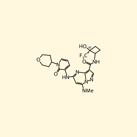 CNc1cc(Nc2cccn(C3CCOCC3)c2=O)nc2c(C(=O)NC3CC[C@]3(O)C(F)(F)F)cnn12